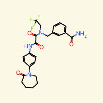 NC(=O)c1cccc(CN(CC(F)(F)F)C(=O)C(=O)Nc2ccc(N3CCCCCC3=O)cc2)c1